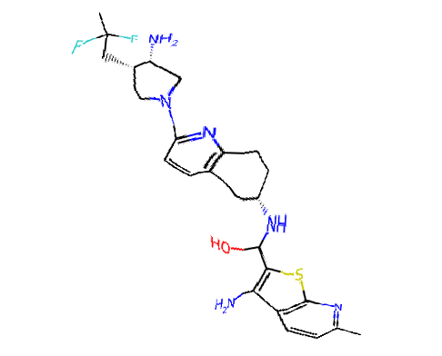 Cc1ccc2c(N)c(C(O)N[C@H]3CCc4nc(N5C[C@H](CC(C)(F)F)[C@H](N)C5)ccc4C3)sc2n1